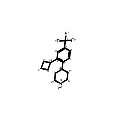 FC(F)(F)c1ccc(C2CCNCC2)c(C2CCC2)c1